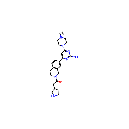 CN1CCN(c2cc(-c3ccc4c(c3)CN(C(=O)CC3CCNC3)CC4)nc(N)n2)CC1